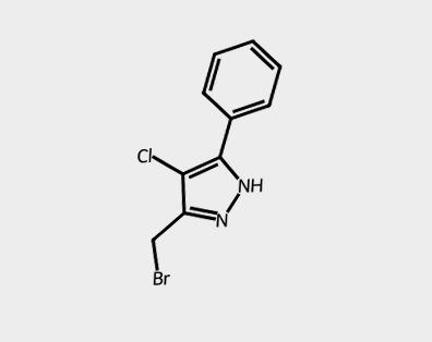 Clc1c(CBr)n[nH]c1-c1ccccc1